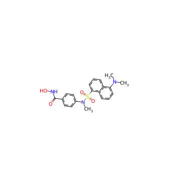 CN(C)c1cccc2c(S(=O)(=O)N(C)c3ccc(C(=O)NO)cc3)cccc12